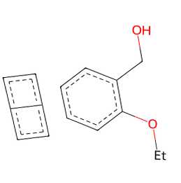 CCOc1ccccc1CO.c1cc2ccc1-2